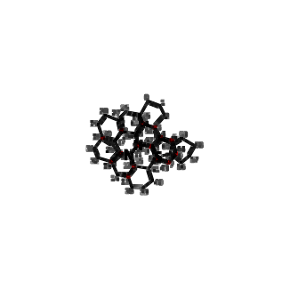 c1ccc(-c2ccccc2N(c2ccccc2-c2ccccc2)c2ccccc2-c2ccccc2N(c2ccccc2-c2ccccc2)c2cccc3c2sc2ccccc23)cc1